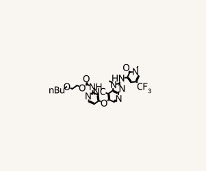 CCCCOCCOC(=O)Nc1cc(Oc2cnc3nc(Nc4cc(C(F)(F)F)cn(C)c4=O)n(C)c3c2C#N)ccn1